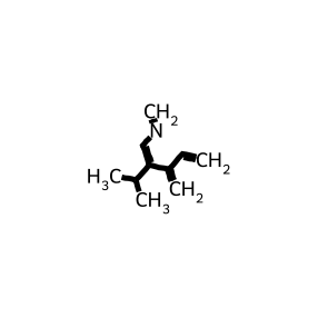 C=CC(=C)/C(=C\N=C)C(C)C